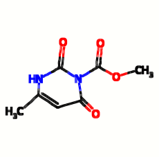 COC(=O)n1c(=O)cc(C)[nH]c1=O